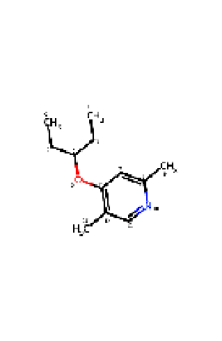 CCC(CC)Oc1cc(C)ncc1C